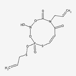 C=CCSOP1(=O)ON(O)OC(=O)N(CC=C)C(=O)C=CS1